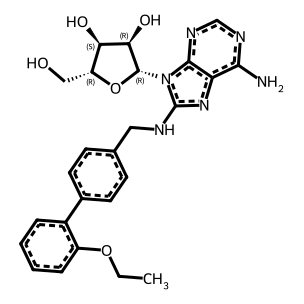 CCOc1ccccc1-c1ccc(CNc2nc3c(N)ncnc3n2[C@@H]2O[C@H](CO)[C@@H](O)[C@H]2O)cc1